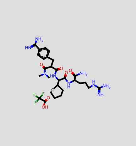 CN(C)C(=O)C(Cc1ccc(C(=N)N)cc1)C(=O)NC(C(=O)NC(CCCNC(=N)N)C(N)=O)C1CCCCC1.O=C(O)C(F)(F)F